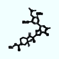 COc1cc(-c2cn(C)c(=O)c3cc(C(=O)N[C@@H]4CCN(C(=O)OC(C)(C)C)CC4(F)F)sc23)cc(OC)c1CN(C)C